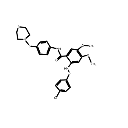 COc1cc(NSc2ccc(Cl)cc2)c(C(=O)Nc2ccc(SN3CCSCC3)cc2)cc1OC